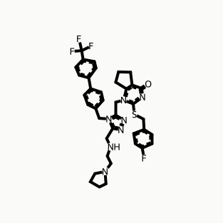 O=c1nc(SCc2ccc(F)cc2)n(Cc2nnc(CNCCN3CCCC3)n2Cc2ccc(-c3ccc(C(F)(F)F)cc3)cc2)c2c1CCC2